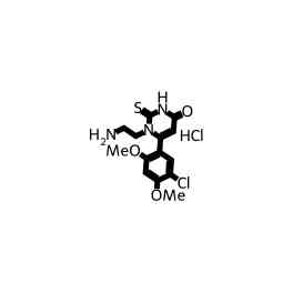 COc1cc(OC)c(-c2cc(=O)[nH]c(=S)n2CCN)cc1Cl.Cl